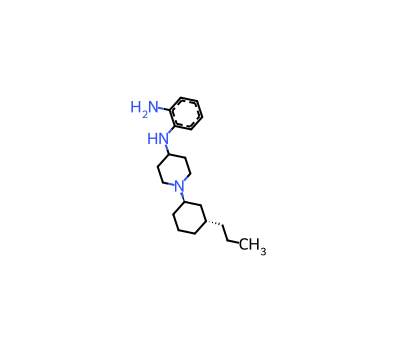 CCC[C@@H]1CCC[C@@H](N2CCC(Nc3ccccc3N)CC2)C1